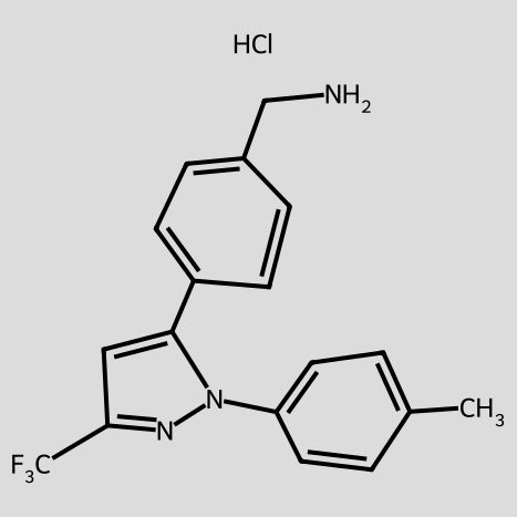 Cc1ccc(-n2nc(C(F)(F)F)cc2-c2ccc(CN)cc2)cc1.Cl